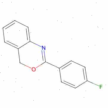 Fc1ccc(C2=Nc3ccccc3CO2)cc1